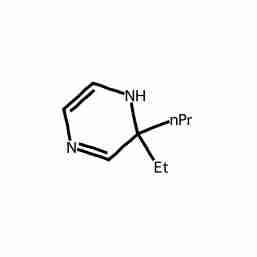 CCCC1(CC)C=NC=CN1